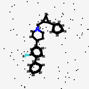 Fc1cc(C2CCN(CC3CC3c3ccccc3)CC2)ccc1-c1ccccc1